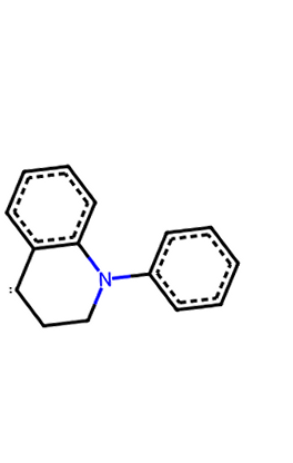 [C]1CCN(c2ccccc2)c2ccccc21